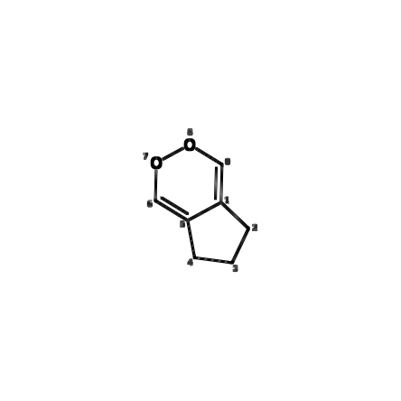 C1=C2CCCC2=COO1